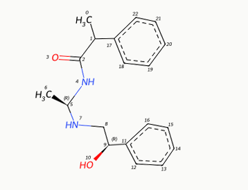 CC(C(=O)N[C@H](C)NC[C@H](O)c1ccccc1)c1ccccc1